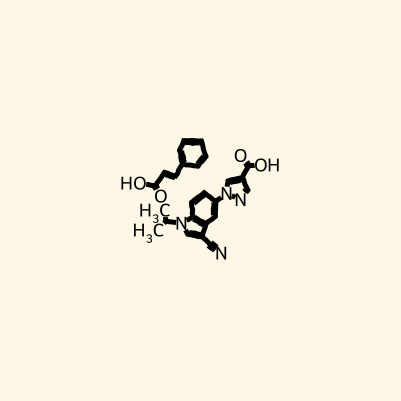 CC(C)n1cc(C#N)c2cc(-n3cc(C(=O)O)cn3)ccc21.O=C(O)C=Cc1ccccc1